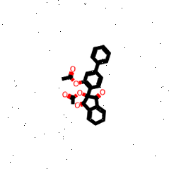 CC(=O)Oc1cc(-c2ccccc2)ccc1C1(OC(C)=O)C(=O)C2=CCCC=C2C1=O